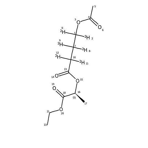 [2H]C([2H])(OC(C)=O)C([2H])([2H])C([2H])([2H])C(=O)O[C@@H](C)C(=O)OCC